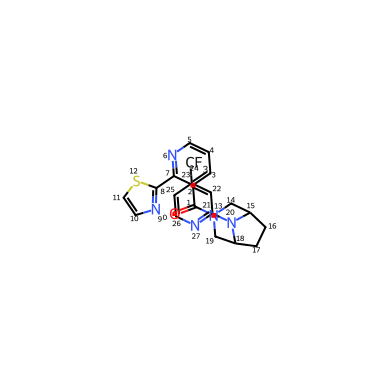 O=C(c1cccnc1-c1nccs1)N1CC2CCC(C1)N2c1cc(C(F)(F)F)ccn1